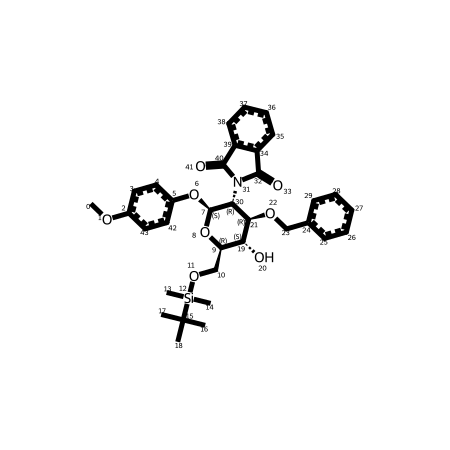 COc1ccc(O[C@@H]2O[C@H](CO[Si](C)(C)C(C)(C)C)[C@@H](O)[C@H](OCc3ccccc3)[C@H]2N2C(=O)c3ccccc3C2=O)cc1